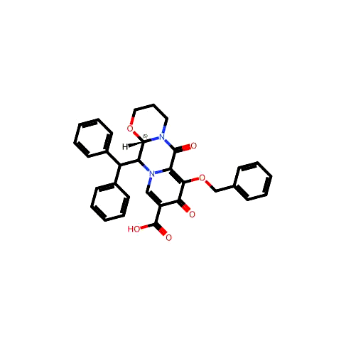 O=C(O)c1cn2c(c(OCc3ccccc3)c1=O)C(=O)N1CCCO[C@H]1C2C(c1ccccc1)c1ccccc1